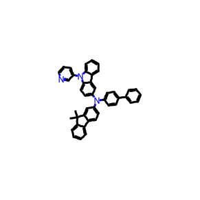 CC1(C)c2ccccc2-c2ccc(N(c3ccc(-c4ccccc4)cc3)c3ccc4c(c3)c3ccccc3n4-c3cccnc3)cc21